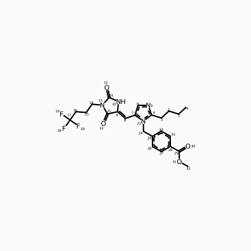 CCCCc1ncc(/C=C2\NC(=O)N(CCCC(F)(F)F)C2=O)n1Cc1ccc(C(=O)OC)cc1